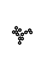 c1ccc(-c2ccc(N(c3ccc(-c4ccc(-c5cccc6ccccc56)cc4)cc3)c3ccc4c(c3)c(-c3ccccc3)c(-c3ccccc3)c3ccccc34)c3ccccc23)cc1